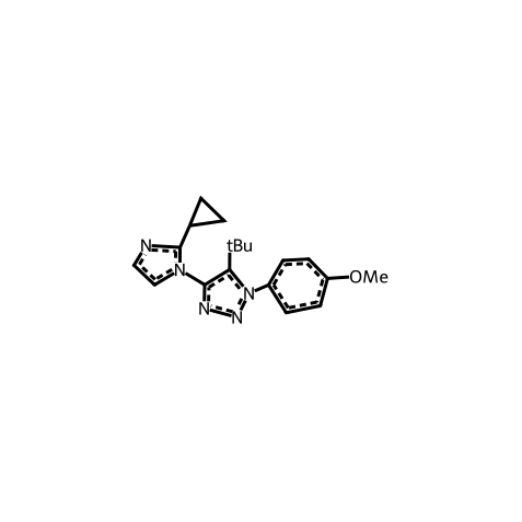 COc1ccc(-n2nnc(-n3ccnc3C3CC3)c2C(C)(C)C)cc1